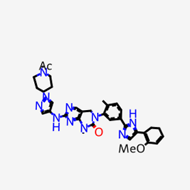 COC1=C(c2cnc(-c3ccc(C)c(N4Cc5cnc(Nc6cnn(C7CCN(C(C)=O)CC7)c6)nc5N(C)C4=O)c3)[nH]2)CCC=C1